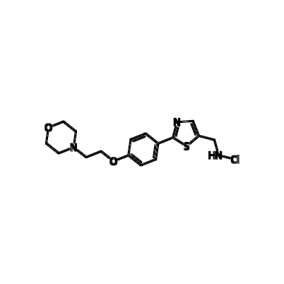 ClNCc1cnc(-c2ccc(OCCN3CCOCC3)cc2)s1